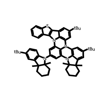 CC(C)(C)c1ccc2c(c1)C1(C)CCCCC1(C)N2c1cc2c3c(c1)-n1c4c(cc(C(C)(C)C)cc4c4sc5ccccc5c41)B3c1cc(C(C)(C)C)cc3c1N2C1(C)CCCCC31C